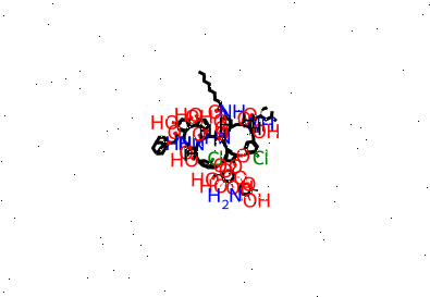 CCCCCCCCC(=O)NC(=O)C[C@@H]1CC(=O)[C@H](NC(=O)[C@H](CC)CC(C)C)[C@H](O)c2ccc(c(Cl)c2)Oc2cc3cc(c2O[C@@H]2O[C@H](CO)[C@@H](O)[C@H](O)[C@H]2O[C@H]2C[C@](C)(N)[C@H](O)[C@H](C)O2)Oc2ccc(cc2Cl)[C@H](O)[C@H]2NC(=O)[C@H](CC(=O)[C@@H]3NC1=O)c1ccc(O)c(c1)-c1c(O)cc(O)cc1[C@@H](C(=O)CC1C3CC4CC(C3)CC1C4)NC2=O